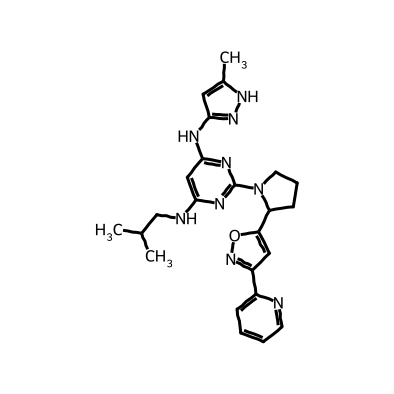 Cc1cc(Nc2cc(NCC(C)C)nc(N3CCCC3c3cc(-c4ccccn4)no3)n2)n[nH]1